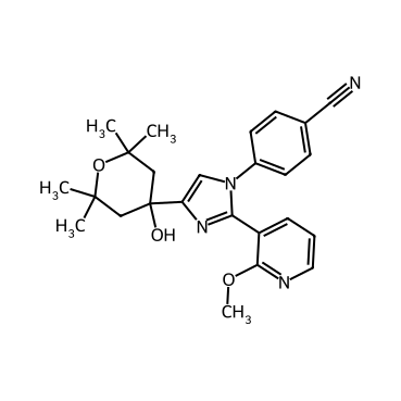 COc1ncccc1-c1nc(C2(O)CC(C)(C)OC(C)(C)C2)cn1-c1ccc(C#N)cc1